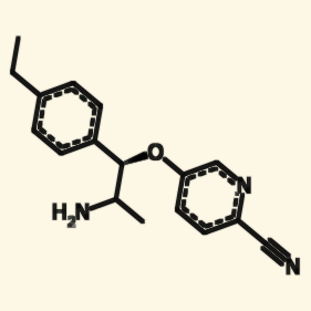 CCc1ccc([C@@H](Oc2ccc(C#N)nc2)C(C)N)cc1